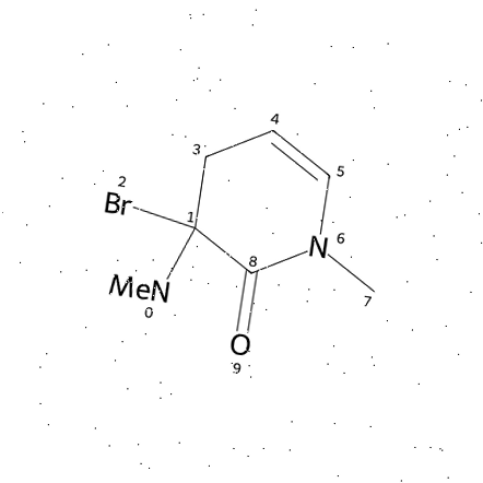 CNC1(Br)CC=CN(C)C1=O